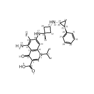 CC(C)n1cc(C(=O)O)c(=O)c2c(N)c(F)c(N[C@]3(C)C[C@H](N[C@@H]4C[C@H]4c4ccccc4)C3)cc21